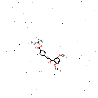 COc1ccc(OC)c(C(=O)/C=C/c2ccc(C(=O)OC(C)C)cc2)c1